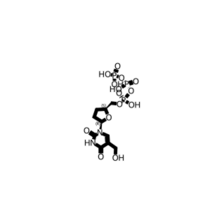 O=c1[nH]c(=O)n([C@H]2CC[C@@H](COP(=O)(O)OP(=O)(O)OP(=O)(O)O)O2)cc1CO